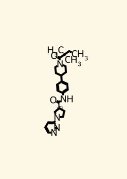 CCC(C)(C)C(=O)N1CCC(c2ccc(NC(=O)[C@H]3CCN(c4cccnn4)C3)cc2)CC1